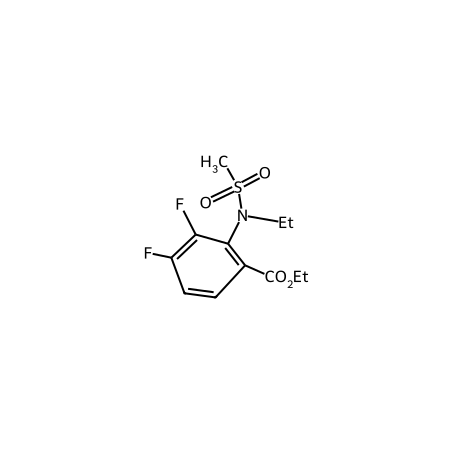 CCOC(=O)c1ccc(F)c(F)c1N(CC)S(C)(=O)=O